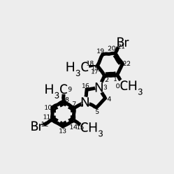 CC1=C(N2CCN(c3c(C)cc(Br)cc3C)C2)[C@@H](C)CC(Br)=C1